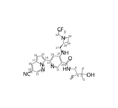 CC(C)(O)C(F)CNC(=O)c1cnc(-c2ccc3cc(C#N)cnn23)cc1NC[C@@H]1CCN1CC(F)(F)F